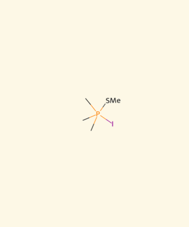 CSP(C)(C)(C)I